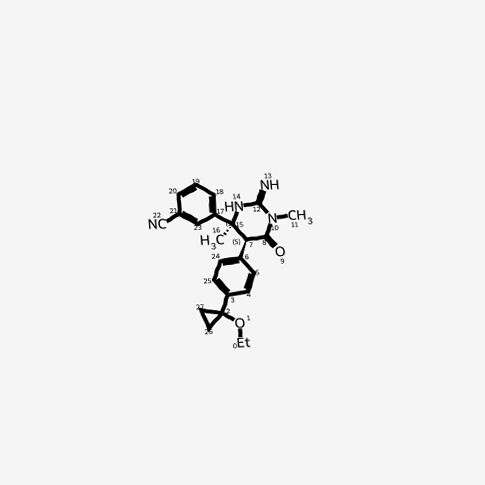 CCOC1(c2ccc([C@@H]3C(=O)N(C)C(=N)N[C@]3(C)c3cccc(C#N)c3)cc2)CC1